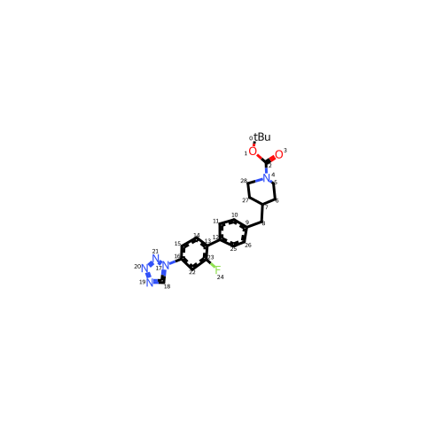 CC(C)(C)OC(=O)N1CCC(Cc2ccc(-c3ccc(-n4cnnn4)cc3F)cc2)CC1